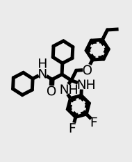 CCc1ccc(OCC2(C(C(=O)NC3CCCCC3)C3CCCCC3)Nc3cc(F)c(F)cc3N2)cc1